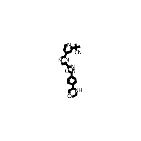 CC(C)(C#N)c1cc(-c2cncc(-c3nnc(-c4ccc(C5COCCN5)cc4)o3)n2)ccn1